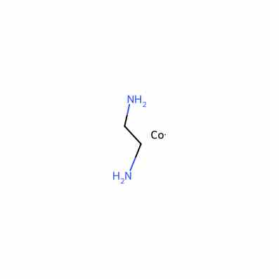 NCCN.[Co]